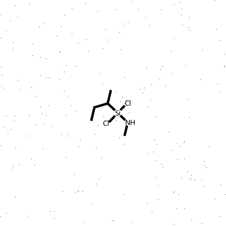 CCC(C)[Si](Cl)(Cl)NC